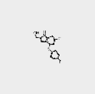 OCc1cc2c(Sc3ccc(F)cc3)cc(Cl)cc2[nH]1